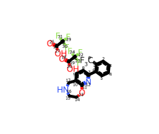 FC(F)(F)c1ccccc1-c1ccc2c(n1)OCCNC2.O=C(O)C(F)(F)F.O=C(O)C(F)(F)F